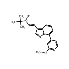 COc1cc(-c2cccc3c(C=N[S+]([O-])C(C)(C)C)cnn23)ccn1